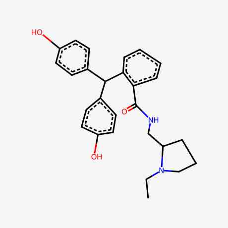 CCN1CCCC1CNC(=O)c1ccccc1C(c1ccc(O)cc1)c1ccc(O)cc1